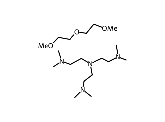 CN(C)CCN(CCN(C)C)CCN(C)C.COCCOCCOC